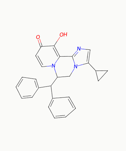 O=c1ccn2c(c1O)-c1ncc(C3CC3)n1CC2C(c1ccccc1)c1ccccc1